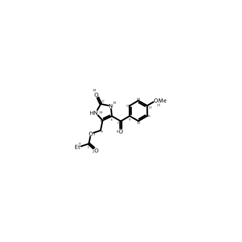 CCC(=O)OCC1=C(C(=O)c2ccc(OC)cc2)[N]C(=O)N1